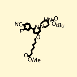 COC(=O)CCCCCCOc1cc(-c2ccc(C#N)c(F)c2)nc(N2CCC(NC(=O)OC(C)(C)C)CC2)c1